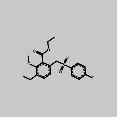 CCOC(=O)c1c(CS(=O)(=O)c2ccc(F)cc2)ccc(CC)c1OC